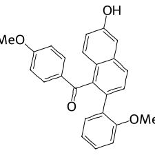 COc1ccc(C(=O)c2c(-c3ccccc3OC)ccc3cc(O)ccc23)cc1